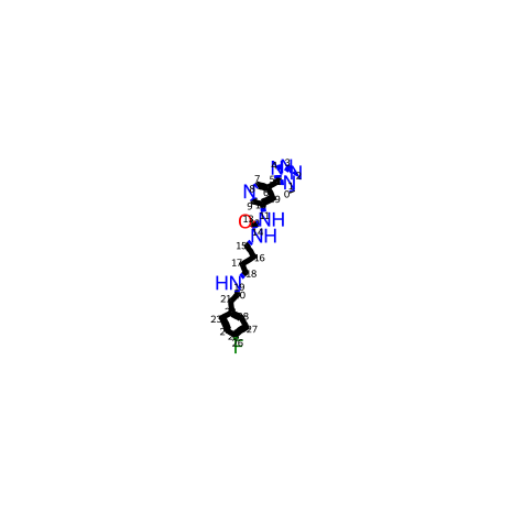 Cn1nnnc1-c1cncc(NC(=O)NCCCCNCCc2ccc(F)cc2)c1